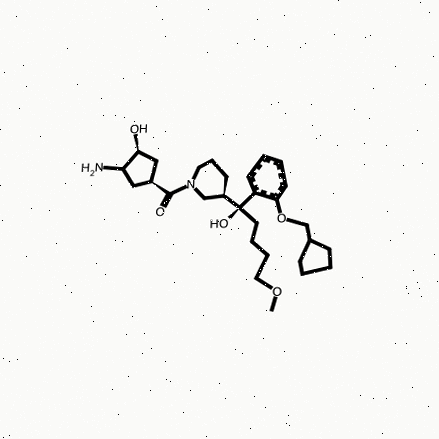 COCCCC[C@@](O)(c1ccccc1OCC1CCCC1)[C@@H]1CCCN(C(=O)[C@H]2CC(N)[C@@H](O)C2)C1